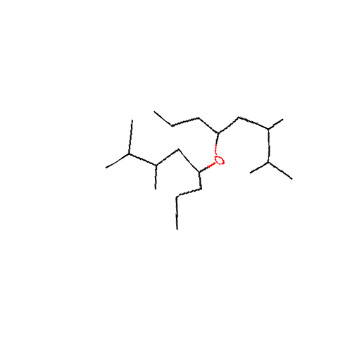 CCCC(CC(C)C(C)C)OC(CCC)CC(C)C(C)C